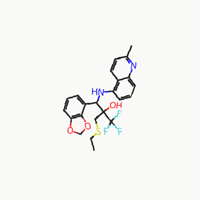 CCSCC(O)(C(Nc1cccc2nc(C)ccc12)c1cccc2c1OCO2)C(F)(F)F